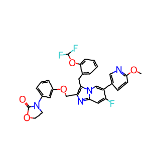 COc1ccc(-c2cn3c(Cc4ccccc4OC(F)F)c(COc4cccc(N5CCOC5=O)c4)nc3cc2F)cn1